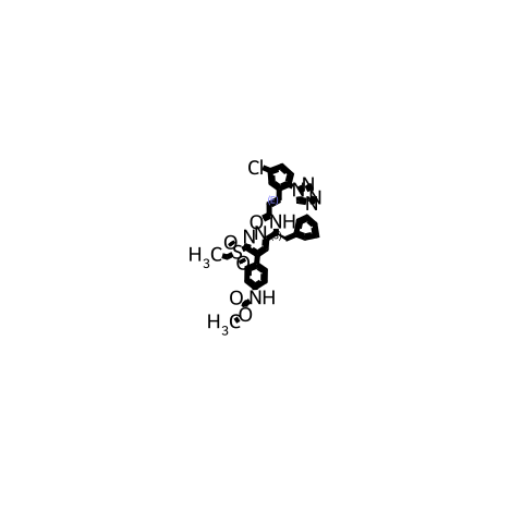 CCS(=O)(=O)c1nnc([C@H](Cc2ccccc2)NC(=O)/C=C/c2cc(Cl)ccc2-n2cnnn2)cc1-c1ccc(NC(=O)OC)cc1